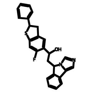 OC(CC1c2ccccc2-c2cncn21)c1cc2c(cc1F)SC(c1ccccc1)C2